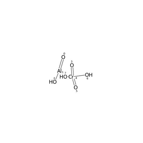 [O]=[Al][OH].[O]=[Cr](=[O])([OH])[OH]